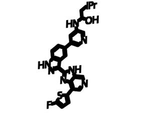 CC(C)CC(O)Nc1cncc(-c2ccc3[nH]nc(-c4nc5c(-c6ccc(F)s6)cncc5[nH]4)c3c2)c1